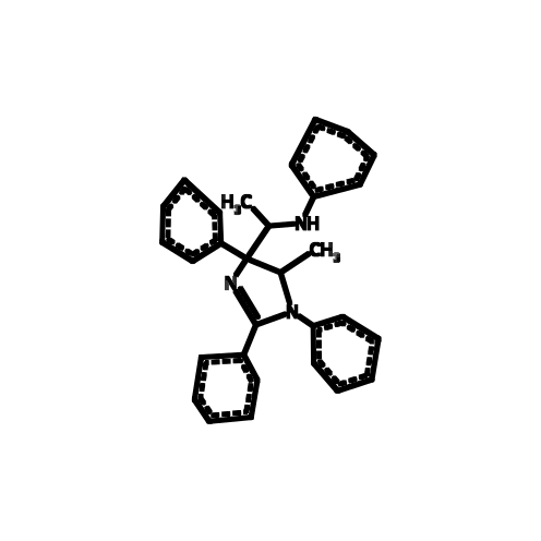 CC(Nc1ccccc1)C1(c2ccccc2)N=C(c2ccccc2)N(c2ccccc2)C1C